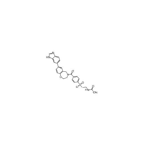 O=C(O)NCCS(=O)(=O)c1ccc(C(=O)N2CCOc3ccc(-c4ccc5nc[nH]c5c4)cc3C2)cc1